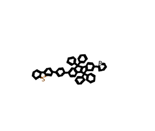 b1ccccc1-c1ccc2c(c1)C(c1ccccc1)(c1ccccc1)C1=C2C(c2ccccc2)(c2ccccc2)c2cc(-c3ccc(-c4ccc5c(c4)sc4ccccc45)cc3)ccc21